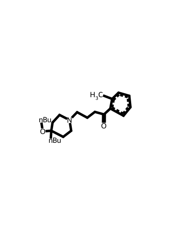 CCCCOC1(CCCC)CCN(CCCC(=O)c2ccccc2C)CC1